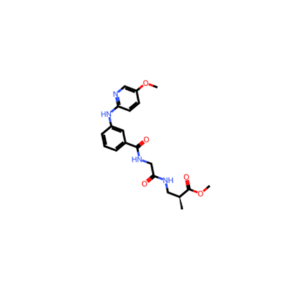 COC(=O)[C@@H](C)CNC(=O)CNC(=O)c1cccc(Nc2ccc(OC)cn2)c1